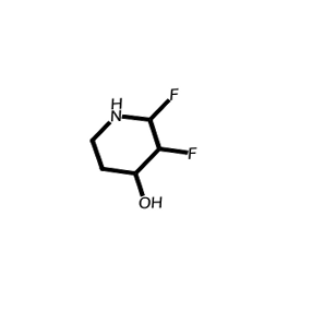 OC1CCNC(F)C1F